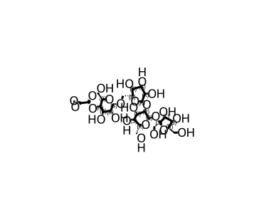 O=C(O[C@@H]1[C@H](O)[C@@H](O)[C@@H](OC[C@H]2O[C@H](O[C@H]3[C@@H](O[C@]4(CO)O[C@H](CO)[C@@H](O)[C@@H]4O)O[C@H](CO)[C@@H](O)[C@@H]3O)[C@H](O)[C@@H](O)[C@H]2O)O[C@@H]1CO)C1OO1